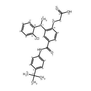 CN(c1cc(C(=O)Nc2ccc(C(C)(C)C)cc2)ccc1OCC(=O)O)c1ncccc1Cl